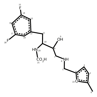 Cc1ccc(CNCC(O)C(Cc2cc(F)cc(F)c2)NC(=O)O)o1